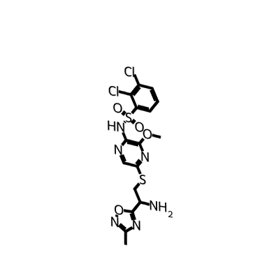 COc1nc(SCC(N)c2nc(C)no2)cnc1NS(=O)(=O)c1cccc(Cl)c1Cl